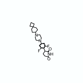 O=C1CCC(c2c(F)cc(N3CCN(C4CCC5(CCC5)CC4)CC3)cc2F)C(=O)N1